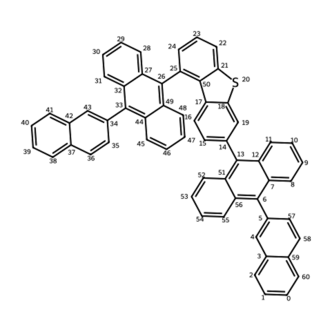 c1ccc2cc(-c3c4ccccc4c(-c4ccc5c(c4)sc4cccc(-c6c7ccccc7c(-c7ccc8ccccc8c7)c7ccccc67)c45)c4ccccc34)ccc2c1